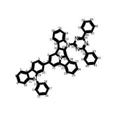 C1=C(c2ccc3c4ccccc4n(-c4ccccc4)c3c2)C=c2c3ccccc3c3n2C1C1C=3N(c2nc(-c3ccccc3)nc(-c3ccccc3)n2)c2ccccc21